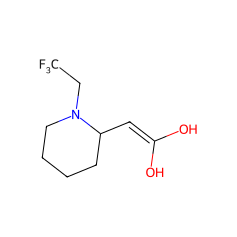 OC(O)=CC1CCCCN1CC(F)(F)F